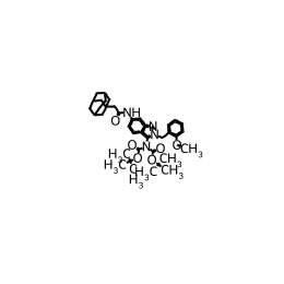 COc1ccccc1Cn1nc2cc(NC(=O)CC34CC5CC(CC(C5)C3)C4)ccc2c1N(C(=O)OC(C)(C)C)C(=O)OC(C)(C)C